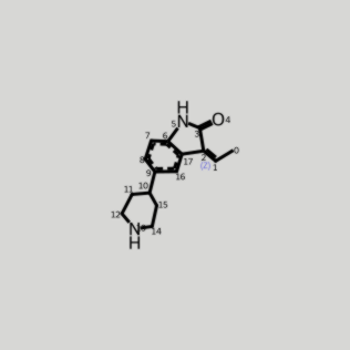 C/C=C1\C(=O)Nc2ccc(C3CCNCC3)cc21